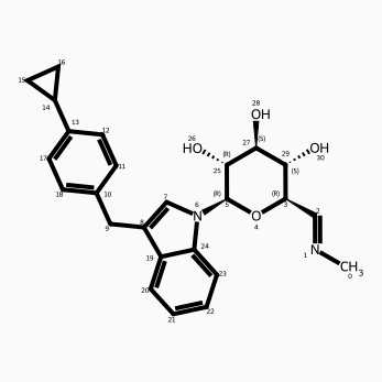 CN=C[C@H]1O[C@@H](n2cc(Cc3ccc(C4CC4)cc3)c3ccccc32)[C@H](O)[C@@H](O)[C@@H]1O